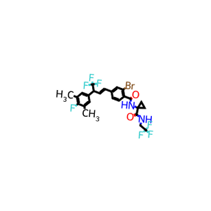 Cc1cc(C(/C=C/c2ccc(C(=O)NC3(C(=O)NCC(F)(F)F)CC3)c(Br)c2)C(F)(F)F)cc(C)c1F